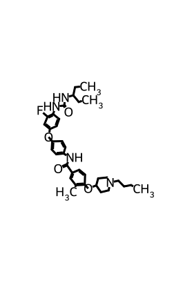 CCCCN1CCC(Oc2ccc(C(=O)Nc3ccc(Oc4ccc(NC(=O)NC(CC)CC)c(F)c4)cc3)cc2C)CC1